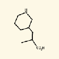 CC(CC1CCCNC1)C(=O)O